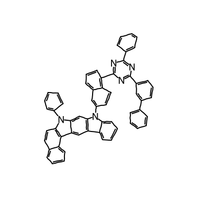 c1ccc(-c2cccc(-c3nc(-c4ccccc4)nc(-c4cccc5cc(-n6c7ccccc7c7cc8c9c%10ccccc%10ccc9n(-c9ccccc9)c8cc76)ccc45)n3)c2)cc1